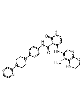 Cc1c(Nc2cc[nH]c(=O)c2C(=O)Nc2ccc(N3CCN(c4ccccn4)CC3)cc2)cnc2c1NCCO2